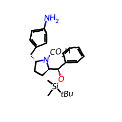 CC(C)(C)[Si](C)(C)O[C@H](c1ccccc1)[C@H]1CC[C@H](Cc2ccc(N)cc2)N1C(=O)O